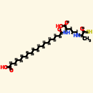 C[C@H](NCCCC(NC(=O)CCCCCCCCCCCCCCCCCCC(=O)O)C(=O)O)C(=O)S